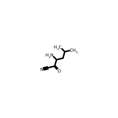 CC(C)CC(N)C(=O)C#N